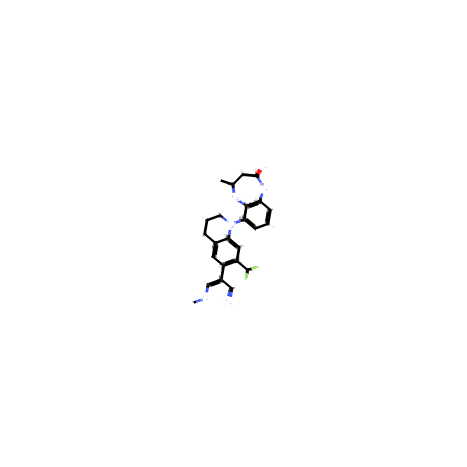 CN/C=C(\C=N)c1cc2c(cc1C(F)F)N(c1cccc3c1NC(C)CC(=O)N3)CCC2